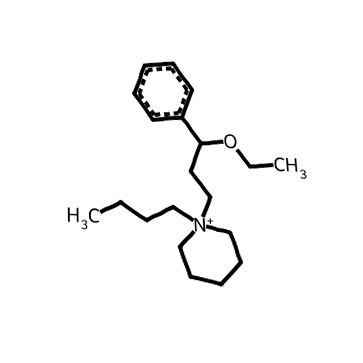 CCCC[N+]1(CCC(OCC)c2ccccc2)CCCCC1